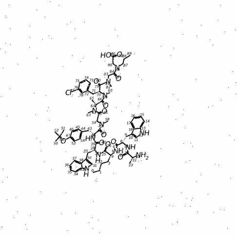 CCCC[C@H](NC(=O)[C@H](Cc1c[nH]c2ccccc12)NC(=O)[C@H](C)N)C(=O)N[C@@H](Cc1c[nH]c2ccccc12)C(=O)N[C@H](Cc1ccc(OC(C)(C)C)cc1)C(=O)N(C)CC(=O)N(C)[C@@H](C)C(=O)N(C)[C@@H](Cc1cccc(Cl)c1)C(=O)N(C)CC(=O)N(CCC)CC(=O)O